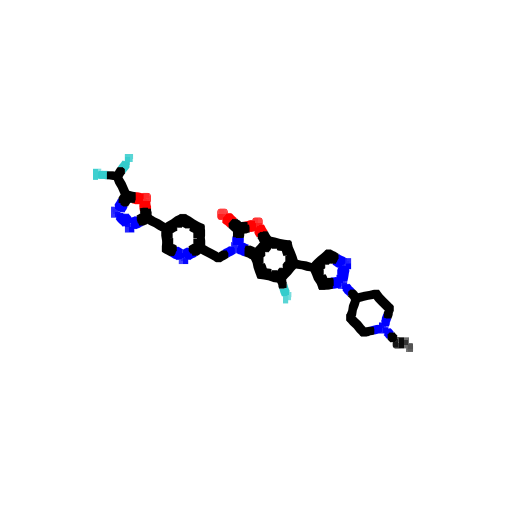 CN1CCC(n2cc(-c3cc4oc(=O)n(Cc5ccc(-c6nnc(C(F)F)o6)cn5)c4cc3F)cn2)CC1